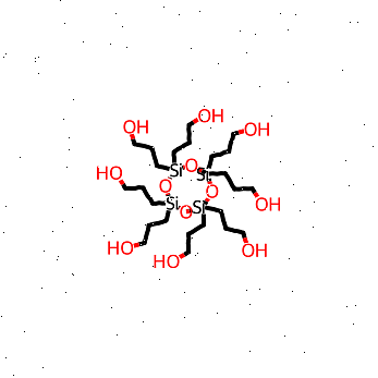 OCCC[Si]1(CCCO)O[Si](CCCO)(CCCO)O[Si](CCCO)(CCCO)O[Si](CCCO)(CCCO)O1